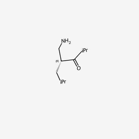 CC(C)C[C@H](CN)C(=O)C(C)C